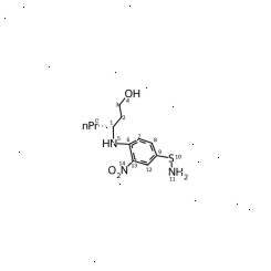 CCC[C@H](CCO)Nc1ccc(SN)cc1[N+](=O)[O-]